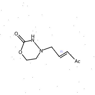 CC(=O)/C=C/CN1CCOC(=O)N1